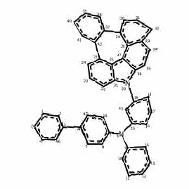 c1ccc(-c2ccc(N(c3ccccc3)c3cccc(-n4c5cccc6c5c5c7c(cccc7ccc54)-c4ccccc4-6)c3)cc2)cc1